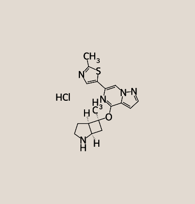 Cc1ncc(-c2cn3nccc3c(O[C@@]3(C)C[C@H]4NCC[C@H]43)n2)s1.Cl